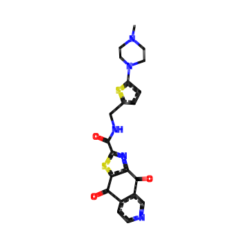 CN1CCN(c2ccc(CNC(=O)c3nc4c(s3)C(=O)c3ccncc3C4=O)s2)CC1